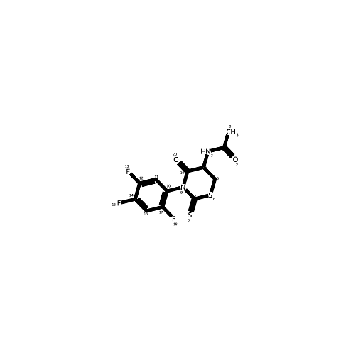 CC(=O)NC1CSC(=S)N(c2cc(F)c(F)cc2F)C1=O